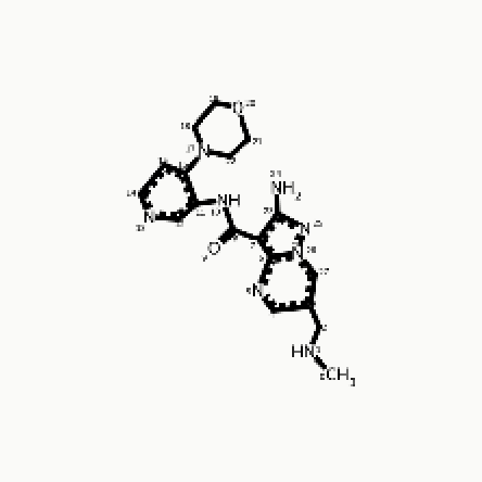 CNCc1cnc2c(C(=O)Nc3cnccc3N3CCOCC3)c(N)nn2c1